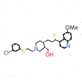 COc1ccc2nccc([C@H](F)CC[C@@H]3CCN(CCSc4cccc(Cl)c4)C[C@@H]3CO)c2c1